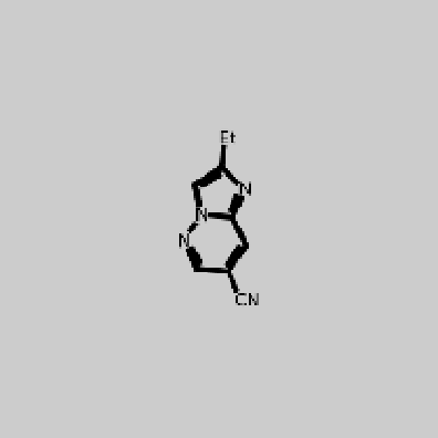 CCc1cn2ncc(C#N)cc2n1